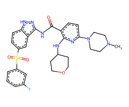 CN1CCN(c2ccc(C(=O)Nc3n[nH]c4ccc(S(=O)(=O)c5cccc(F)c5)cc34)c(NC3CCOCC3)n2)CC1